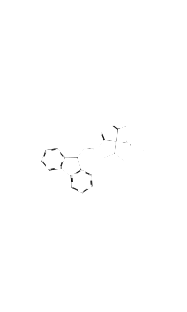 CC(C)[C@@](N)(C(=O)O)C(=O)OCC1c2ccccc2-c2ccccc21